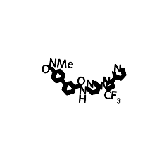 CNC(=O)c1ccc(-c2cccc(C(=O)Nc3ccc(-n4nc(-c5cccnc5)cc4C(F)(F)F)cn3)c2)cc1